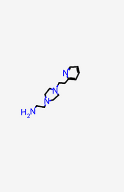 NCCN1CCN(CCc2ccccn2)CC1